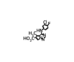 Cc1c(C(=O)O)cn2ncnc(Nc3ccc(F)c(Cl)c3)c12